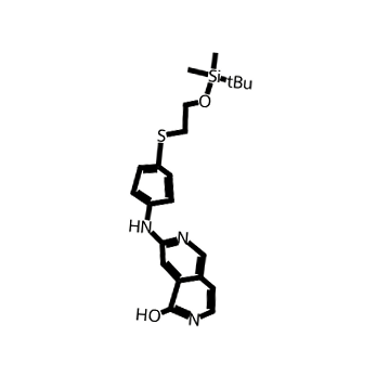 CC(C)(C)[Si](C)(C)OCCSc1ccc(Nc2cc3c(O)nccc3cn2)cc1